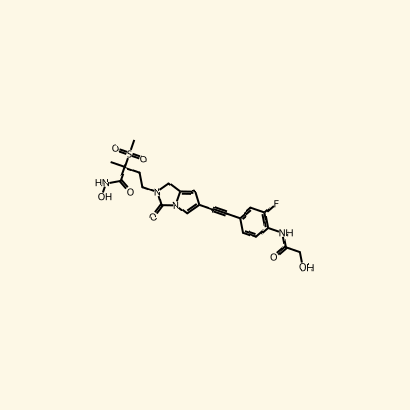 CC(CCN1Cc2cc(C#Cc3ccc(NC(=O)CO)c(F)c3)cn2C1=O)(C(=O)NO)S(C)(=O)=O